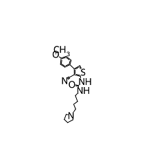 COc1ccc(-c2csc(NC(=O)NCCCCN3CCCC3)c2C#N)cc1